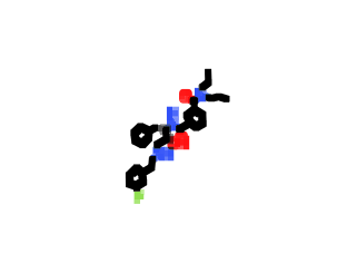 CCCN(CCC)C(=O)c1cccc(C(=O)N[C@@H](Cc2ccccc2)[C@H](O)CNCCc2cccc(F)c2)c1